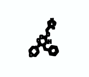 O=C(NC(Cc1ccccc1)C(=O)N1CCOCC1)OCc1cncs1